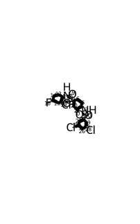 O=S(=O)(Nc1ccc(S(=O)(=O)Nc2ccc(F)cc2C(F)(F)F)cc1)c1cc(Cl)cc(Cl)c1